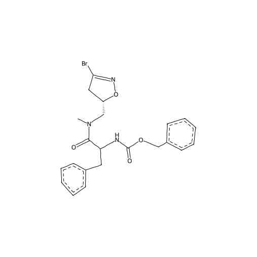 CN(C[C@@H]1CC(Br)=NO1)C(=O)C(Cc1ccccc1)NC(=O)OCc1ccccc1